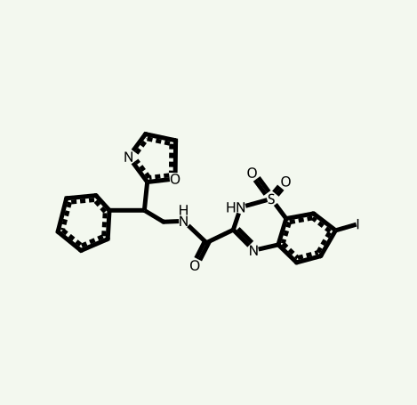 O=C(NCC(c1ccccc1)c1ncco1)C1=Nc2ccc(I)cc2S(=O)(=O)N1